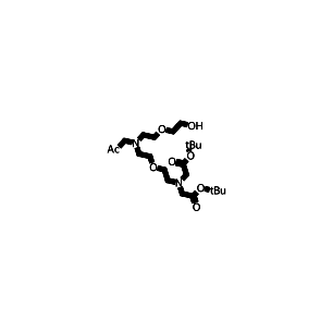 CC(=O)CN(CCOCCO)CCOCCN(CC(=O)OC(C)(C)C)CC(=O)OC(C)(C)C